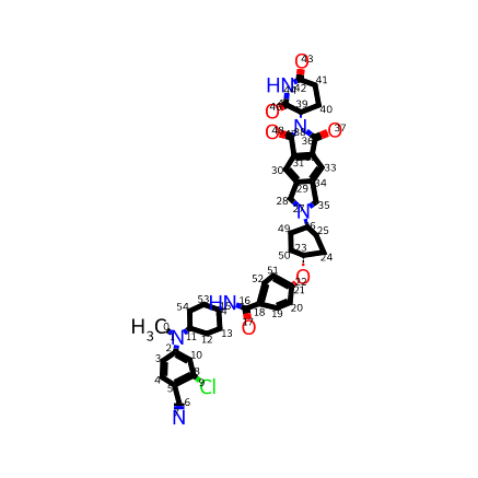 CN(c1ccc(C#N)c(Cl)c1)C1CCC(NC(=O)c2ccc(O[C@H]3CC[C@H](N4Cc5cc6c(cc5C4)C(=O)N([C@H]4CCC(=O)NC4=O)C6=O)CC3)cc2)CC1